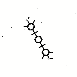 CNc1c(C)cc(C(C)(C)c2ccc(C(C)(C)c3cc(C)c(NC)c(C)c3)cc2)cc1C